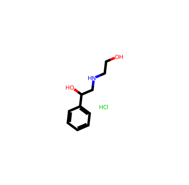 Cl.OCCNCC(O)c1ccccc1